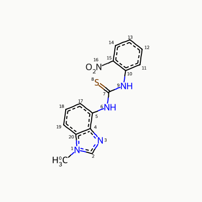 Cn1cnc2c(NC(=S)Nc3ccccc3[N+](=O)[O-])cccc21